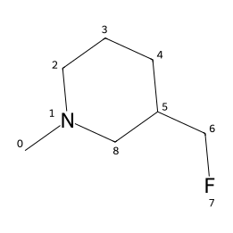 CN1CCCC(CF)C1